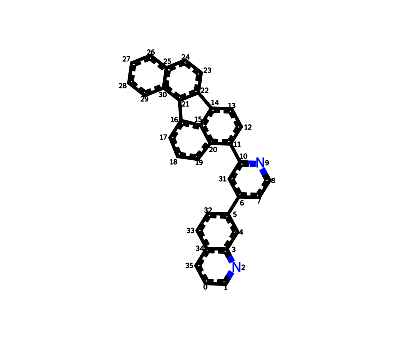 c1cnc2cc(-c3ccnc(-c4ccc5c6c(cccc46)-c4c-5ccc5ccccc45)c3)ccc2c1